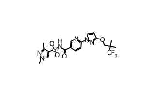 Cc1nn(C)cc1S(=O)(=O)NC(=O)c1ccc(-n2ccc(OCC(C)(C)C(F)(F)F)n2)nc1